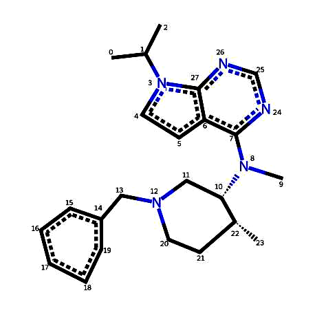 CC(C)n1ccc2c(N(C)[C@H]3CN(Cc4ccccc4)CC[C@H]3C)ncnc21